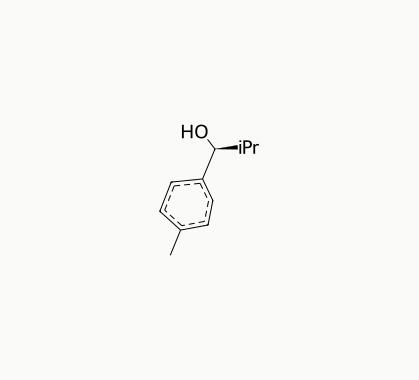 Cc1ccc([C@@H](O)C(C)C)cc1